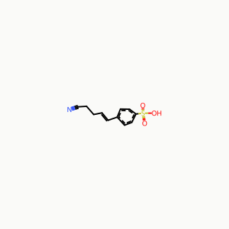 N#CCCC=Cc1ccc(S(=O)(=O)O)cc1